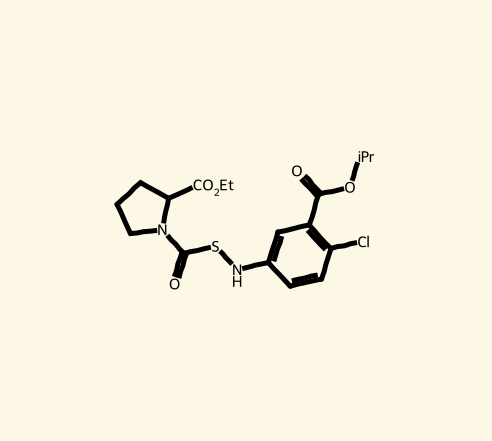 CCOC(=O)C1CCCN1C(=O)SNc1ccc(Cl)c(C(=O)OC(C)C)c1